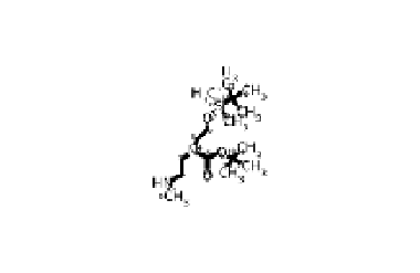 CNCCN(CCO[Si](C)(C)C(C)(C)C)C(=O)OC(C)(C)C